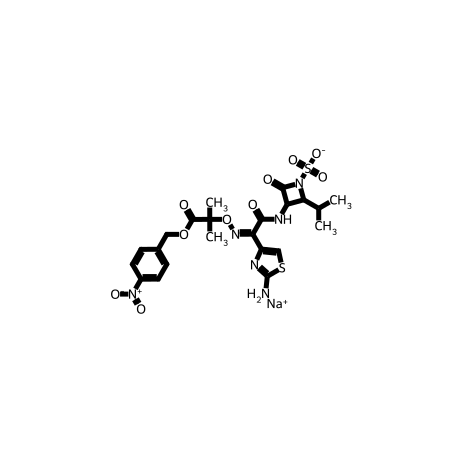 CC(C)C1C(NC(=O)C(=NOC(C)(C)C(=O)OCc2ccc([N+](=O)[O-])cc2)c2csc(N)n2)C(=O)N1S(=O)(=O)[O-].[Na+]